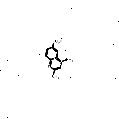 Cc1cc(N)c2cc(C(=O)O)ccc2n1